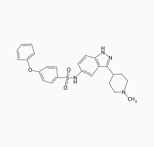 CN1CCC(c2n[nH]c3ccc(NS(=O)(=O)c4ccc(Oc5ccccc5)cc4)cc23)CC1